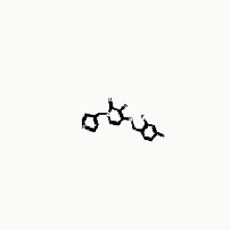 O=c1c(Br)c(OCc2ccc(F)cc2F)ccn1Cc1ccncc1